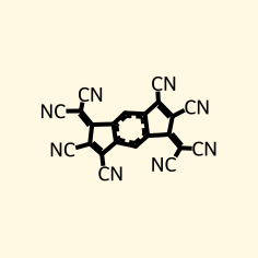 N#CC(C#N)=C1C(C#N)=C(C#N)c2cc3c(cc21)C(C#N)=C(C#N)C3=C(C#N)C#N